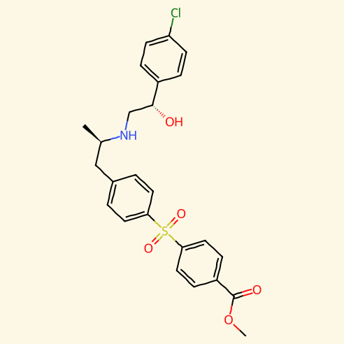 COC(=O)c1ccc(S(=O)(=O)c2ccc(C[C@@H](C)NC[C@@H](O)c3ccc(Cl)cc3)cc2)cc1